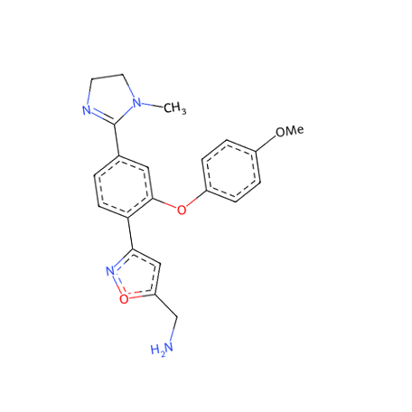 COc1ccc(Oc2cc(C3=NCCN3C)ccc2-c2cc(CN)on2)cc1